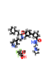 O=C(NCCN1CCCC1)c1cccc(-c2cccc(CN(CCc3ccncc3)C(=O)C=Cc3ccccc3)c2)c1.O=C(O)C(F)(F)F